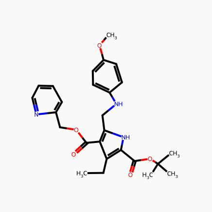 CCc1c(C(=O)OC(C)(C)C)[nH]c(CNc2ccc(OC)cc2)c1C(=O)OCc1ccccn1